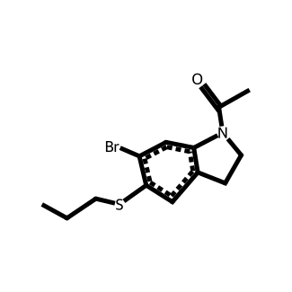 CCCSc1cc2c(cc1Br)N(C(C)=O)CC2